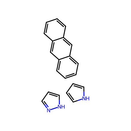 c1cc[nH]c1.c1ccc2cc3ccccc3cc2c1.c1cn[nH]c1